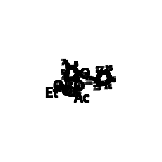 CCO[N+](=O)c1cc(C)cc(OCc2ccccc2)c1OC(=O)C(C)=O